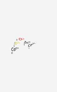 [Cd+2].[Ce+3].[O-2].[S+2].[Zn+2]